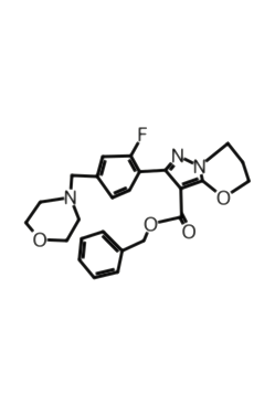 O=C(OCc1ccccc1)c1c(-c2ccc(CN3CCOCC3)cc2F)nn2c1OCCC2